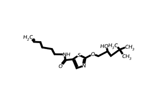 C=CCCCCNC(=O)c1cnc(OCC(O)CC(C)(C)C)s1